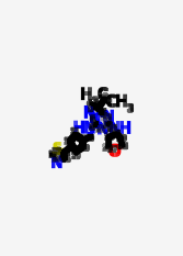 CC(C)c1cnn2c(NCc3ccc(-c4cncs4)cc3)nc(NC3CCOCC3)nc12